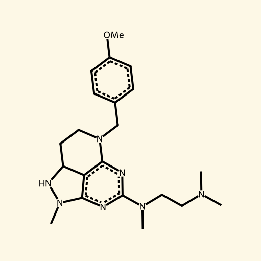 COc1ccc(CN2CCC3NN(C)c4nc(N(C)CCN(C)C)nc2c43)cc1